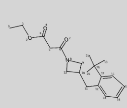 CCOC(=O)CC(=O)N1CC(Cc2ccccc2C(C)(C)C)C1